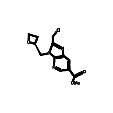 COC(=O)c1cnc2c(c1)nc(CCl)n2C[C@@H]1CCO1